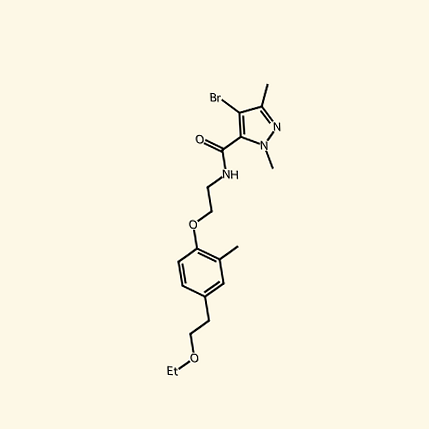 CCOCCc1ccc(OCCNC(=O)c2c(Br)c(C)nn2C)c(C)c1